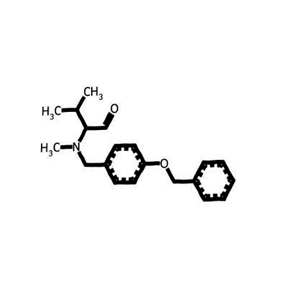 CC(C)C(C=O)N(C)Cc1ccc(OCc2ccccc2)cc1